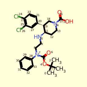 CC(C)(C)OC(=O)N(CCN[C@@H]1CCN(C(=O)O)C[C@H]1c1ccc(Cl)c(Cl)c1)c1ccccc1